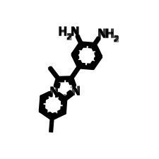 Cc1ccn2c(C)c(-c3ccc(N)c(N)c3)nc2c1